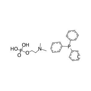 CN(C)CCOP(=O)(O)O.c1ccc(P(c2ccccc2)c2ccccc2)cc1